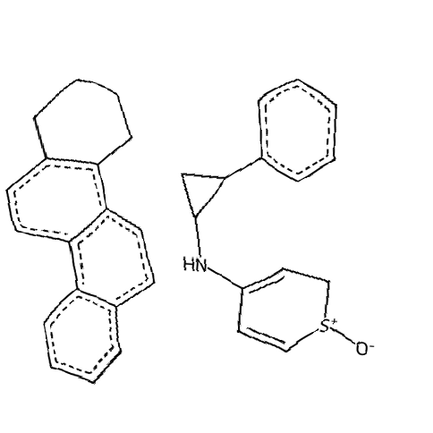 [O-][S+]1C=CC(NC2CC2c2ccccc2)=CC1.c1ccc2c(c1)ccc1c3c(ccc12)CCCC3